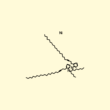 CCCCCCCCCCCCCCCCCCC#CCCc1ccccc1N=C(CCCC)C(CCCCCC)=Nc1ccccc1CCC#CCCCCCCCCCCCCCCCCCC.[Ni]